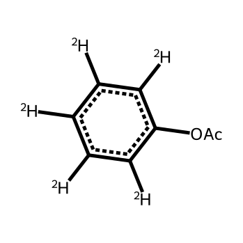 [2H]c1c([2H])c([2H])c(OC(C)=O)c([2H])c1[2H]